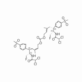 CC(=CCOC(=O)OCC=C(C)C[C@H](c1ccc(S(C)(=O)=O)cc1)[C@@H](CF)NC(=O)C(Cl)Cl)C[C@H](c1ccc(S(C)(=O)=O)cc1)[C@@H](CF)NC(=O)C(Cl)Cl